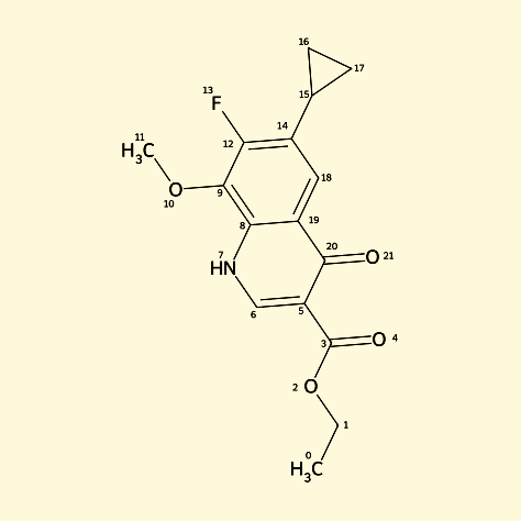 CCOC(=O)c1c[nH]c2c(OC)c(F)c(C3CC3)cc2c1=O